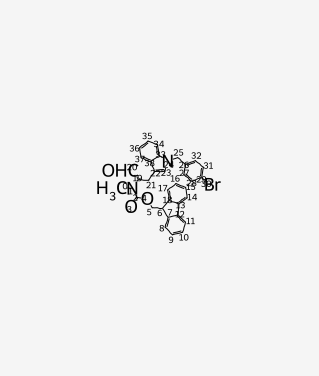 CN(C(=O)OCC1c2ccccc2-c2ccccc21)C(C=O)Cc1cn(Cc2ccc(Br)cc2)c2ccccc12